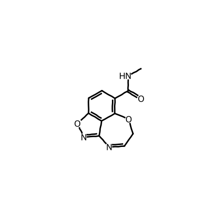 CNC(=O)c1ccc2onc3c2c1OCC=N3